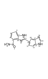 NC(=O)c1cccc2[nH]c(-c3ccc4[nH]cnc4c3)nc12